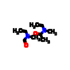 C=CN(C)C(C)=O.C=CN(C)C=O